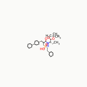 CC[C@H](NC(=O)[C@H](Cc1ccc(-c2ccccc2)cc1)CP(=O)(O)CCc1ccccc1)C(=O)OC(C)(C)C